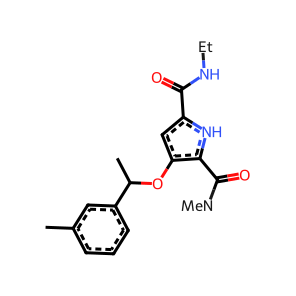 CCNC(=O)c1cc(OC(C)c2cccc(C)c2)c(C(=O)NC)[nH]1